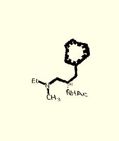 CCN(C)C[C@H](Cc1ccccc1)NC(C)=O